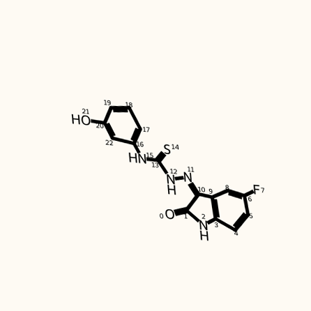 O=C1Nc2ccc(F)cc2/C1=N/NC(=S)Nc1cccc(O)c1